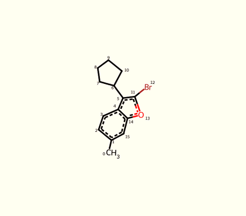 Cc1ccc2c(C3CCCC3)c(Br)oc2c1